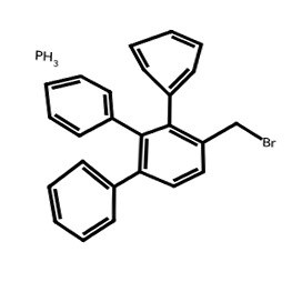 BrCc1ccc(-c2ccccc2)c(-c2ccccc2)c1-c1ccccc1.P